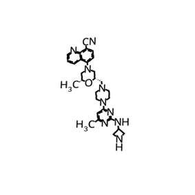 Cc1cc(N2CCN(C[C@H]3CN(c4ccc(C#N)c5ncccc45)C[C@@H](C)O3)CC2)nc(NC2CNC2)n1